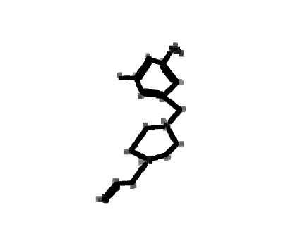 Cc1cc(N)cc(CN2CCN(CC=O)CC2)c1